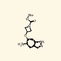 CC(C)(C)OC(=O)N1CC(Oc2cc3[nH]ncc3cc2N)C1